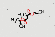 C#CC(C)OC(=O)CC(C)C(=O)OCCC#N